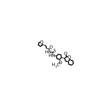 COc1cc(NC(=S)NC(=O)C=Cc2ccco2)ccc1-c1cc2ccccc2oc1=O